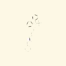 CC(C)(C)[Si](OCCCC/C=C(\F)CC1SCCCS1)(c1ccccc1)c1ccccc1